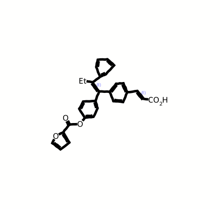 CC/C(=C(/c1ccc(/C=C/C(=O)O)cc1)c1ccc(OC(=O)c2ccco2)cc1)c1ccccc1